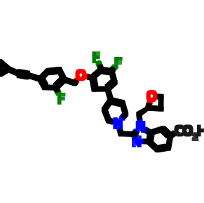 O=C(O)c1ccc2nc(CN3CC=C(c4cc(F)c(F)c(OCc5ccc(C#CC6CC6)cc5F)c4)CC3)n(C[C@@H]3CCO3)c2c1